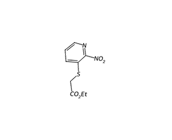 CCOC(=O)CSc1cccnc1[N+](=O)[O-]